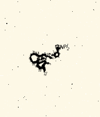 C=C(Nc1cccc(C(N)=O)c1)c1cc2n(n1)/C(c1ccc(C)c(C)c1)=C\C=C/CCC2